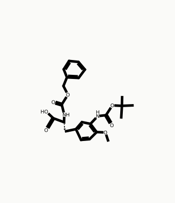 COc1ccc(C[C@@H](NC(=O)OCc2ccccc2)C(=O)O)cc1NC(=O)OC(C)(C)C